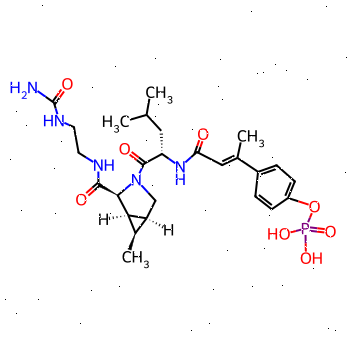 C/C(=C\C(=O)N[C@@H](CC(C)C)C(=O)N1C[C@H]2[C@@H](C)[C@H]2[C@H]1C(=O)NCCNC(N)=O)c1ccc(OP(=O)(O)O)cc1